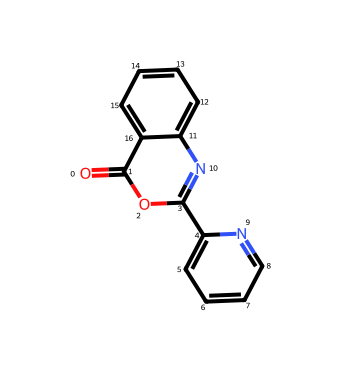 O=c1oc(-c2ccccn2)nc2ccccc12